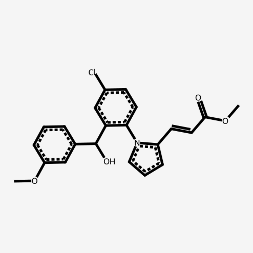 COC(=O)/C=C/c1cccn1-c1ccc(Cl)cc1C(O)c1cccc(OC)c1